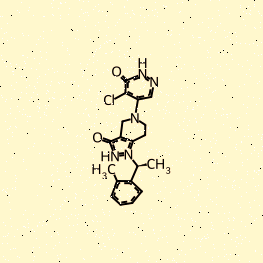 Cc1ccccc1[C@H](C)n1[nH]c(=O)c2c1CCN(c1cn[nH]c(=O)c1Cl)C2